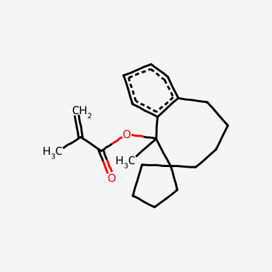 C=C(C)C(=O)OC1(C)c2ccccc2CCCCC12CCCC2